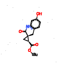 CC(C)(C)OC(=O)[C@H]1C[C@]1(Cc1ccc(O)cc1)C(N)=O